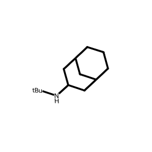 CC(C)(C)NC1CC2CCCC(C2)C1